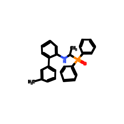 Cc1cccc(-c2ccccc2NC(C)P(=O)(c2ccccc2)c2ccccc2)c1